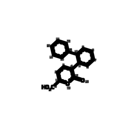 O=C(O)c1ccc(-c2ccccc2-c2ccccc2)c(=O)o1